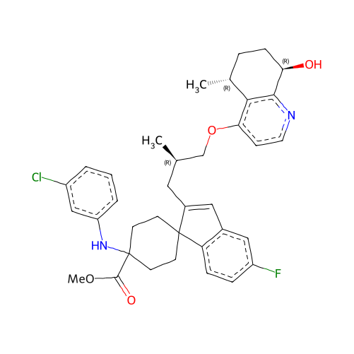 COC(=O)C1(Nc2cccc(Cl)c2)CCC2(CC1)C(C[C@@H](C)COc1ccnc3c1[C@H](C)CC[C@H]3O)=Cc1cc(F)ccc12